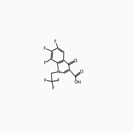 O=C(O)c1cn(CC(F)(F)F)c2c(F)c(F)c(F)cc2c1=O